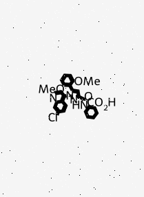 COc1cccc(OC)c1-c1cc(C(=O)NC2(C(=O)O)CCCCC2)nn1-c1ccnc2cc(Cl)ccc12